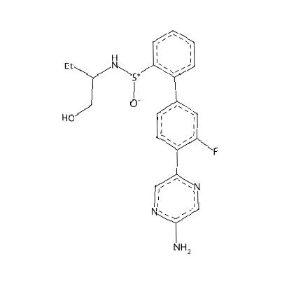 CCC(CO)N[S+]([O-])c1ccccc1-c1ccc(-c2cnc(N)cn2)c(F)c1